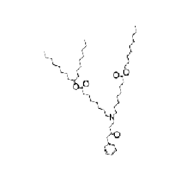 CCCCCCCCCOC(=O)CCCCCCCN(CCCCCCCC(=O)OC(CCCCCCCC)CCCCCCCC)CCC(=O)Cc1ccccc1